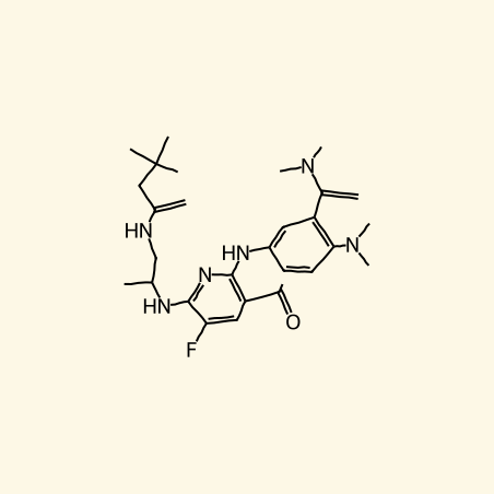 C=C(CC(C)(C)C)NCC(C)Nc1nc(Nc2ccc(N(C)C)c(C(=C)N(C)C)c2)c(C(C)=O)cc1F